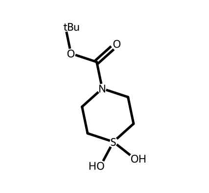 CC(C)(C)OC(=O)N1CCS(O)(O)CC1